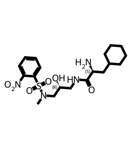 CN(C[C@H](O)CNC(=O)[C@@H](N)CC1CCCCC1)S(=O)(=O)c1ccccc1[N+](=O)[O-]